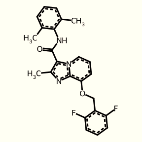 Cc1cccc(C)c1NC(=O)c1c(C)nc2c(OCc3c(F)cccc3F)cccn12